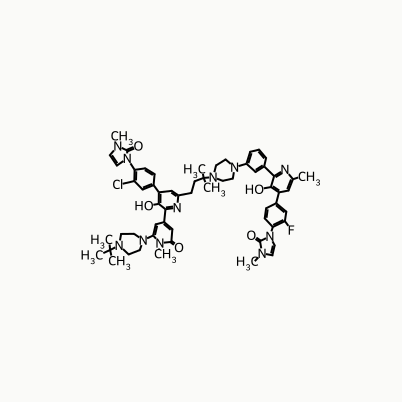 Cc1cc(-c2ccc(-n3ccn(C)c3=O)c(F)c2)c(O)c(-c2cccc(N3CCN(C(C)(C)CCc4cc(-c5ccc(-n6ccn(C)c6=O)c(Cl)c5)c(O)c(-c5cc(N6CCN(C(C)(C)C)CC6)n(C)c(=O)c5)n4)CC3)c2)n1